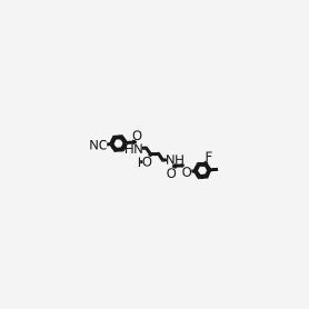 Cc1ccc(OCC(=O)NCCC(CNC(=O)c2ccc(C#N)cc2)OI)cc1F